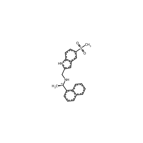 C[C@@H](NCc1cc2cc(S(C)(=O)=O)ccc2[nH]1)c1cccc2ccccc12